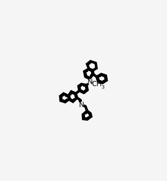 CN(c1ccc(-c2cc3ccccc3cc2/C=N/Cc2ccccc2)cc1)c1ccc2c(c1-c1ccccc1)CCC=C2